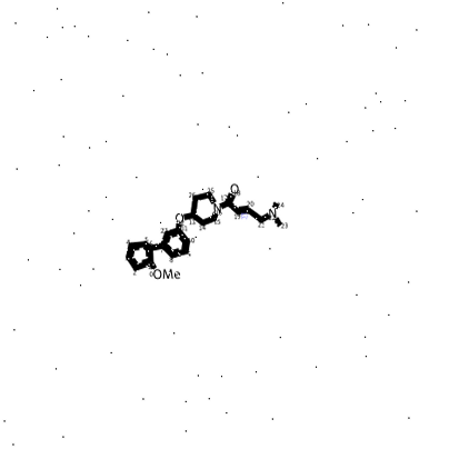 COc1ccccc1-c1cccc(OC2CCN(C(=O)/C=C/CN(C)C)CC2)c1